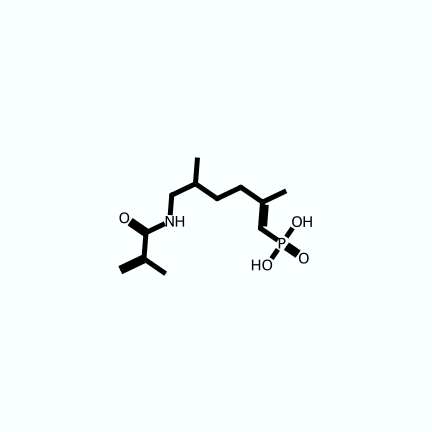 C=C(C)C(=O)NCC(C)CCC(C)=CP(=O)(O)O